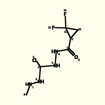 CNNC(Cl)NNC(=O)C1CC1(F)F